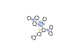 c1ccc(-c2ccc3c(c2)sc2c(-c4nc(-c5ccccc5)nc(-c5cccc6c5c5ccccc5n6-c5ccccc5)n4)cc(-n4c5ccccc5c5ccccc54)cc23)cc1